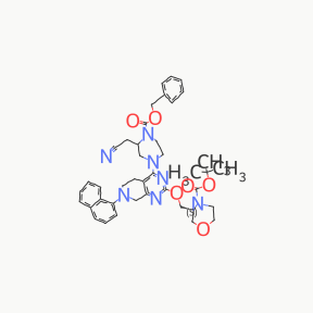 CC(C)(C)OC(=O)N1CCOC[C@H]1COc1nc2c(c(N3CCN(C(=O)OCc4ccccc4)C(CC#N)C3)n1)CCN(c1cccc3ccccc13)C2